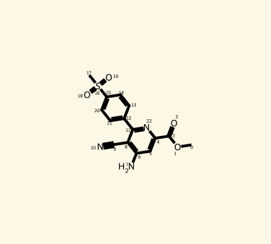 COC(=O)c1cc(N)c(C#N)c(-c2ccc(S(C)(=O)=O)cc2)n1